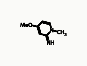 COc1ccn(C)c(=N)c1